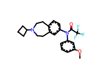 COc1cccc(N(C(=O)C(F)(F)F)c2ccc3c(c2)CCN(C2CCC2)CC3)c1